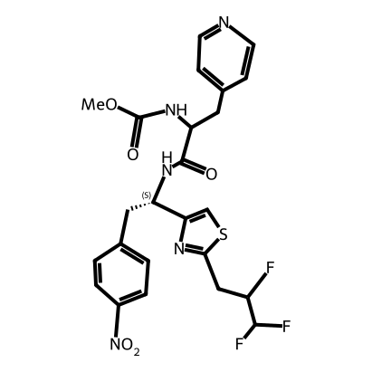 COC(=O)NC(Cc1ccncc1)C(=O)N[C@@H](Cc1ccc([N+](=O)[O-])cc1)c1csc(CC(F)C(F)F)n1